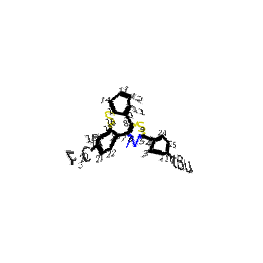 CC(C)(C)c1ccc(-c2nc3c(s2)-c2ccccc2Sc2cc(C(F)(F)F)ccc2-3)cc1